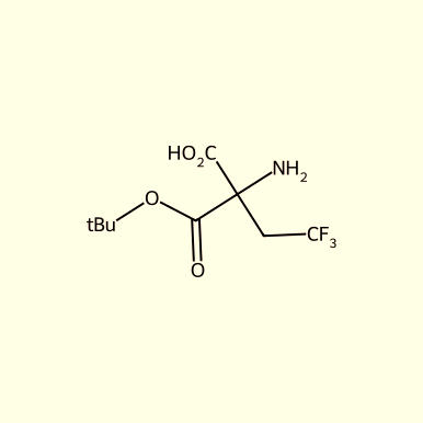 CC(C)(C)OC(=O)C(N)(CC(F)(F)F)C(=O)O